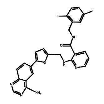 Nc1ncnc2ccc(-c3ccc(CNc4ncccc4C(=O)NCc4cc(F)ccc4F)s3)cc12